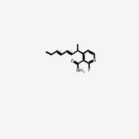 CC/C=C/C=C/C(C)c1ccnc(F)c1C(N)=O